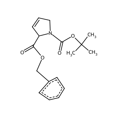 CC(C)(C)OC(=O)N1CC=CC1C(=O)OCc1ccccc1